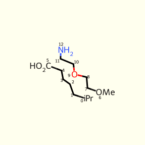 CC(C)CCCCC(=O)O.COCCOCCN